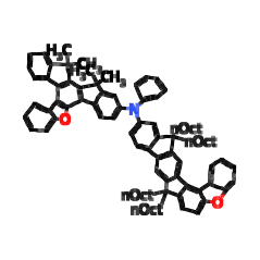 CCCCCCCCC1(CCCCCCCC)c2cc(N(c3ccccc3)c3ccc4c(c3)C(C)(C)c3c5c(c6c(oc7ccccc76)c3-4)-c3ccccc3C5(C)C)ccc2-c2cc3c(cc21)-c1c(ccc2oc4ccccc4c12)C3(CCCCCCCC)CCCCCCCC